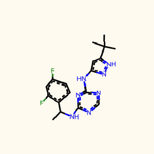 CC(Nc1ncnc(Nc2cc(C(C)(C)C)[nH]n2)n1)c1ccc(F)cc1F